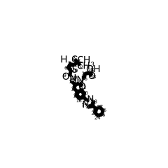 CC(C)(C)c1ccc(C(=O)/N=C/C(Cc2ccc(-c3ncc(C4=CCCCC4)cn3)cc2)C(=O)NCCC(=O)O)s1